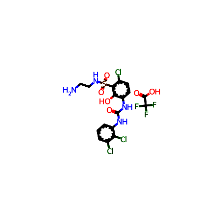 NCCNS(=O)(=O)c1c(Cl)ccc(NC(=O)Nc2cccc(Cl)c2Cl)c1O.O=C(O)C(F)(F)F